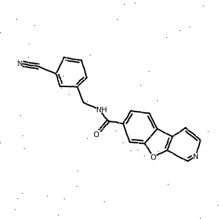 N#Cc1cccc(CNC(=O)c2ccc3c(c2)oc2cnccc23)c1